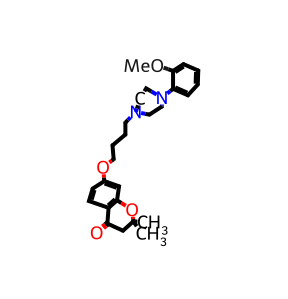 COc1ccccc1N1CCN(CCCCOc2ccc3c(c2)OC(C)(C)CC3=O)CC1